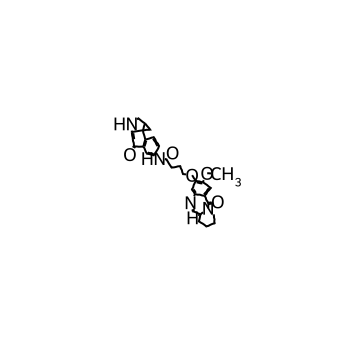 COc1cc2c(cc1OCCCC(=O)Nc1ccc3c(c1)C(=O)C=C1NCC4CC134)N=C[C@H]1CCCCN1C2=O